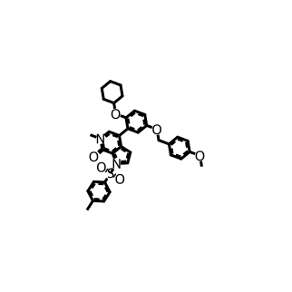 COc1ccc(COc2ccc(OC3CCCCC3)c(-c3cn(C)c(=O)c4c3ccn4S(=O)(=O)c3ccc(C)cc3)c2)cc1